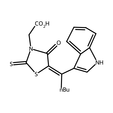 CCCCC(=C1SC(=S)N(CC(=O)O)C1=O)c1c[nH]c2ccccc12